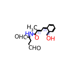 C\C(=C/C=c1/cccc/c1=C\O)C(=O)N[C@H](C=O)CCC=O